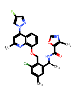 Cc1cc(Cl)c(COc2cccc3c(-n4cc(F)cn4)cc(C)nc23)c([C@H](C)NC(=O)c2ocnc2C)c1